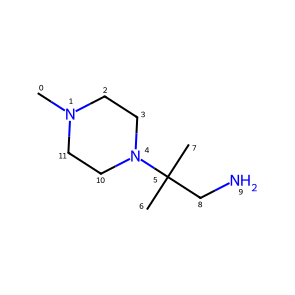 CN1CCN(C(C)(C)CN)CC1